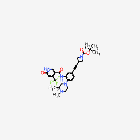 C[C@H]1CN(c2ccc(C#CC3CN(C(=O)OC(C)(C)C)C3)cc2NC(=O)c2c[nH]c(=O)cc2C(F)(F)F)CCN1C